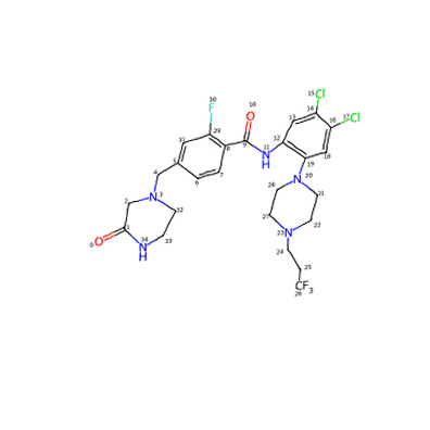 O=C1CN(Cc2ccc(C(=O)Nc3cc(Cl)c(Cl)cc3N3CCN(CCC(F)(F)F)CC3)c(F)c2)CCN1